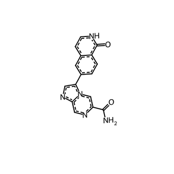 NC(=O)c1cn2c(-c3ccc4c(=O)[nH]ccc4c3)cnc2cn1